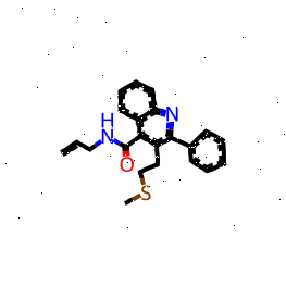 C=CCNC(=O)c1c(CCSC)c(-c2ccccc2)nc2ccccc12